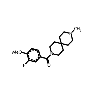 COc1ccc(C(=O)N2CCC3(CCN(C)CC3)CC2)cc1F